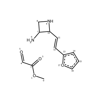 COC(=O)C=O.NC1CNC1C=Cc1ccco1